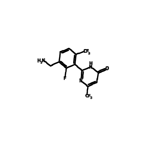 NCc1ccc(C(F)(F)F)c(-c2nc(C(F)(F)F)cc(=O)[nH]2)c1F